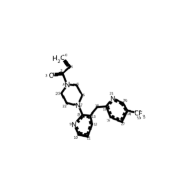 C=CC(=O)N1CCN(c2ncccc2Cc2ccc(C(F)(F)F)cn2)CC1